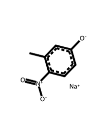 Cc1cc([O-])ccc1[N+](=O)[O-].[Na+]